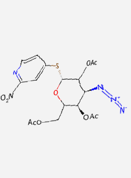 CC(=O)OCC1O[C@H](Sc2ccnc([N+](=O)[O-])c2)C(OC(C)=O)[C@@H](N=[N+]=[N-])[C@H]1OC(C)=O